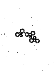 c1ccc2c(c1)oc1c(-n3c4ccccc4c4cc(-c5cccc6c5sc5ccccc56)ccc43)cccc12